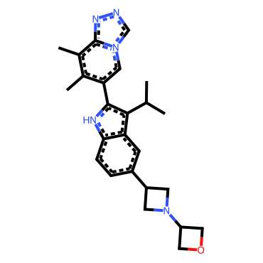 Cc1c(-c2[nH]c3ccc(C4CN(C5COC5)C4)cc3c2C(C)C)cn2cnnc2c1C